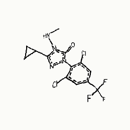 CNn1c(C2CC2)nn(-c2c(Cl)cc(C(F)(F)F)cc2Cl)c1=O